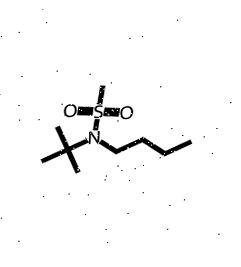 CCCCN(C(C)(C)C)S(C)(=O)=O